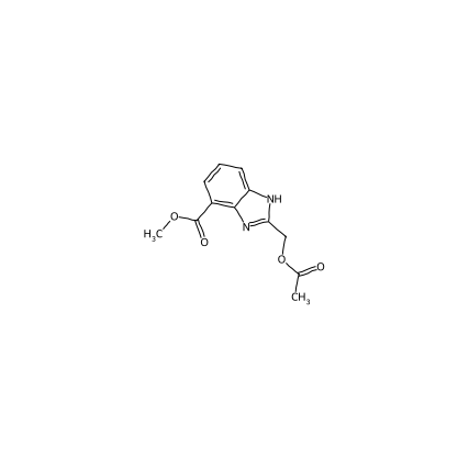 COC(=O)c1cccc2[nH]c(COC(C)=O)nc12